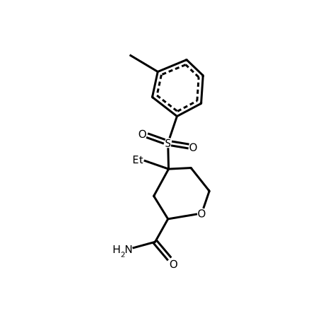 CCC1(S(=O)(=O)c2cccc(C)c2)CCOC(C(N)=O)C1